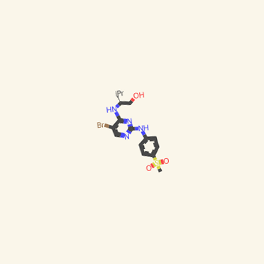 CC(C)[C@H](CO)Nc1nc(Nc2ccc(S(C)(=O)=O)cc2)ncc1Br